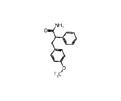 NC(=O)C(Cc1ccc(OC(F)(F)F)cc1)c1ccccc1